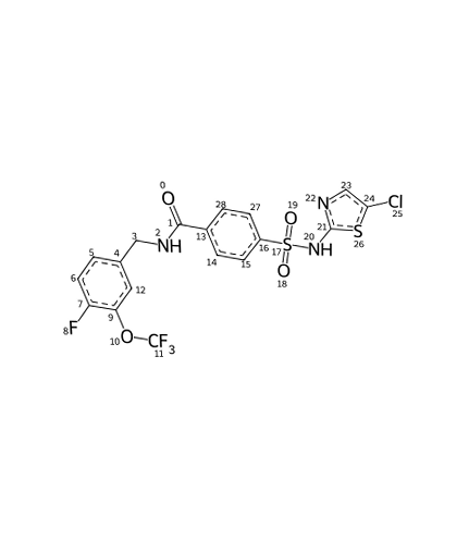 O=C(NCc1ccc(F)c(OC(F)(F)F)c1)c1ccc(S(=O)(=O)Nc2ncc(Cl)s2)cc1